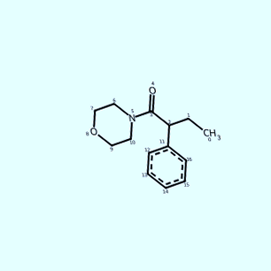 CCC(C(=O)N1CCOCC1)c1ccccc1